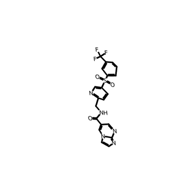 O=C(NCc1ccc(S(=O)(=O)c2cccc(C(F)(F)F)c2)cn1)c1cnc2nccn2c1